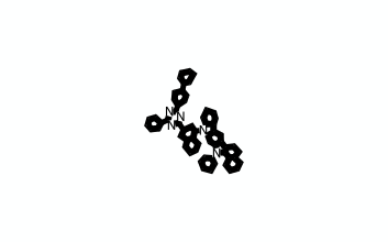 c1ccc(-c2ccc(-c3nc(-c4ccccc4)nc(-c4cc(-n5c6ccccc6c6cc7c8ccc9ccccc9c8n(-c8ccccc8)c7cc65)c5ccccc5c4)n3)cc2)cc1